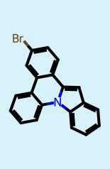 Brc1ccc2c(c1)c1ccccc1n1c3ccccc3cc21